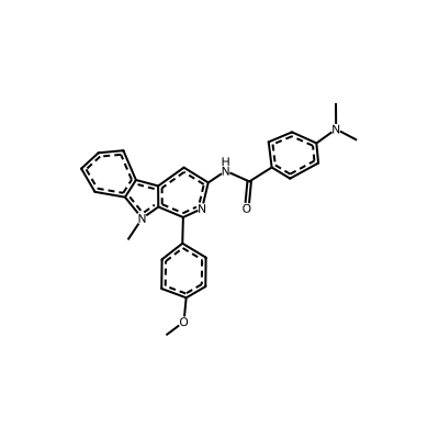 COc1ccc(-c2nc(NC(=O)c3ccc(N(C)C)cc3)cc3c4ccccc4n(C)c23)cc1